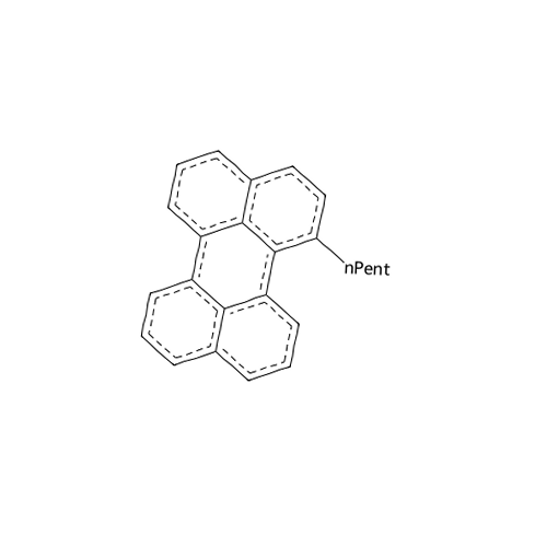 CCCCCc1ccc2cccc3c4cccc5cccc(c1c23)c54